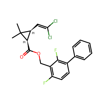 CC1(C)[C@H](C(=O)OCc2c(F)ccc(-c3ccccc3)c2F)[C@@H]1C=C(Cl)Cl